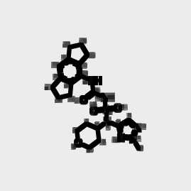 Cn1ncc(N(C2CCOCC2)S(=O)(=O)NC(=O)Nc2c3c(cc4c2CCC4)CCC3)n1